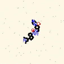 COc1cc2ccn(C(=O)Nc3cccc4c(-c5cc(C)nc(C)c5)cccc34)c2cc1N1CCN(C)CC1